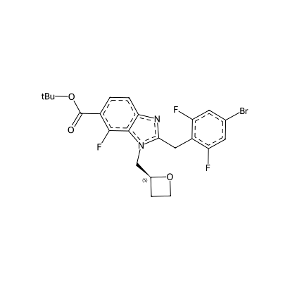 CC(C)(C)OC(=O)c1ccc2nc(Cc3c(F)cc(Br)cc3F)n(C[C@@H]3CCO3)c2c1F